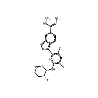 N/C=C(\NN)c1ccn2c(-c3nc(N[C@@H]4CNCC[C@H]4F)c(F)cc3F)cnc2c1